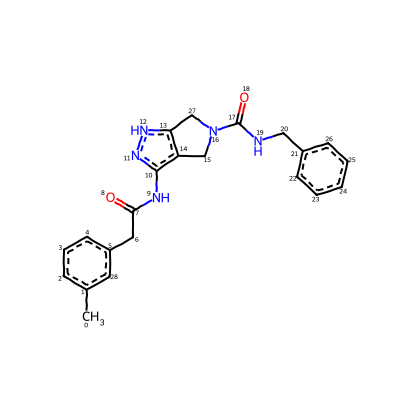 Cc1cccc(CC(=O)Nc2n[nH]c3c2CN(C(=O)NCc2ccccc2)C3)c1